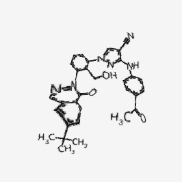 CC(=O)c1ccc(Nc2nn(-c3cccc(-n4ncc5cc(C(C)(C)C)ccc5c4=O)c3CO)cc2C#N)cc1